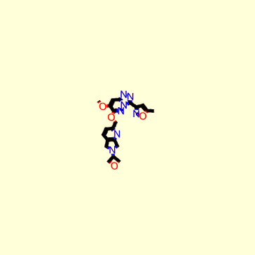 COc1cc2nnc(-c3cc(C)on3)n2nc1OCc1ccc2c(n1)CN(C1COC1)C2